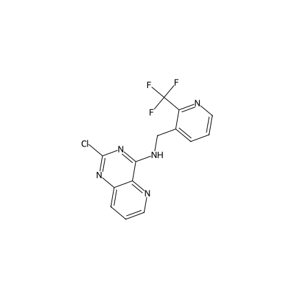 FC(F)(F)c1ncccc1CNc1nc(Cl)nc2cccnc12